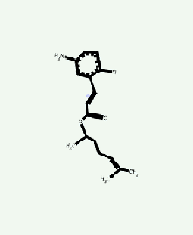 CC(C)=CCCC(C)OC(=O)/C=C/c1cc(N)ccc1Cl